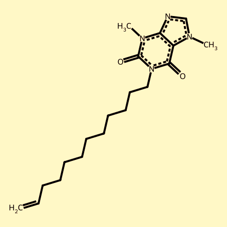 C=CCCCCCCCCCCn1c(=O)c2c(ncn2C)n(C)c1=O